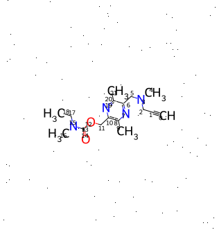 C#CCN(C)Cc1nc(C)c(COC(=O)N(C)CC)nc1C